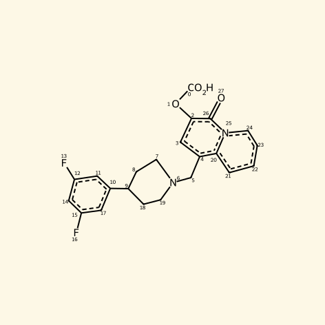 O=C(O)Oc1cc(CN2CCC(c3cc(F)cc(F)c3)CC2)c2ccccn2c1=O